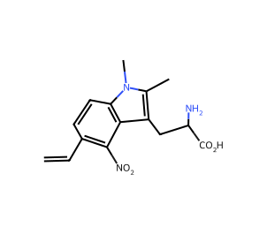 C=Cc1ccc2c(c(CC(N)C(=O)O)c(C)n2C)c1[N+](=O)[O-]